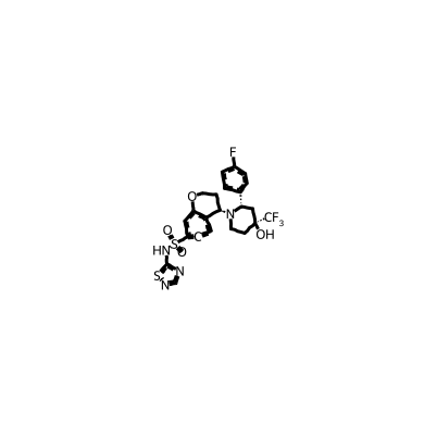 O=S(=O)(Nc1ncns1)c1ccc2c(c1)OCC[C@@H]2N1CC[C@@](O)(C(F)(F)F)C[C@H]1c1ccc(F)cc1